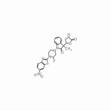 CC(C(=O)NN1CCN(c2nc3ccc([N+](=O)[O-])cc3s2)C(F)C1)(c1ccccc1)C1CNC(=O)O1